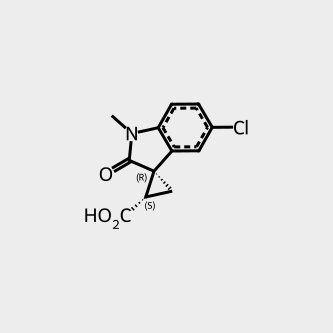 CN1C(=O)[C@@]2(C[C@@H]2C(=O)O)c2cc(Cl)ccc21